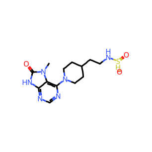 Cn1c(=O)[nH]c2ncnc(N3CCC(CCN[SH](=O)=O)CC3)c21